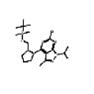 Cc1nn(C(C)C)c2nc(Cl)nc(N3CCC[C@H]3CO[Si](C)(C)C(C)(C)C)c12